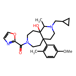 COc1ccc(C)c(C23CCN(C(=O)c4ncco4)CCC2(O)C(C)N(CC2CC2)CC3)c1